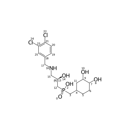 O=P(O)(CC1CCC(O)C(O)C1)C[C@H](O)CNCc1ccc(Cl)c(Cl)c1